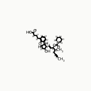 CC#CC[C@H](C)[C@@H](/C=C/[C@@H]1[C@H]2c3cccc(CCCC(=O)O)c3O[C@H]2C[C@H]1O)OC(=O)N1CCCCC1